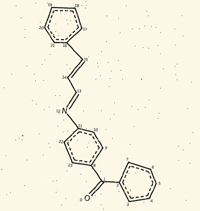 O=C(c1ccccc1)c1ccc(N=CC=Cc2ccccc2)cc1